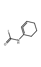 O=C(I)NC1=C=CCCC1